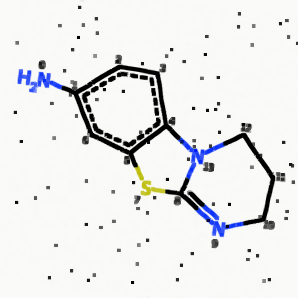 Nc1ccc2c(c1)SC1=NCCCN12